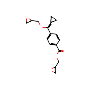 O=C(OCC1CO1)c1ccc(C(OCC2CO2)=C2CC2)cc1